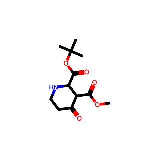 COC(=O)C1C(=O)CCNC1C(=O)OC(C)(C)C